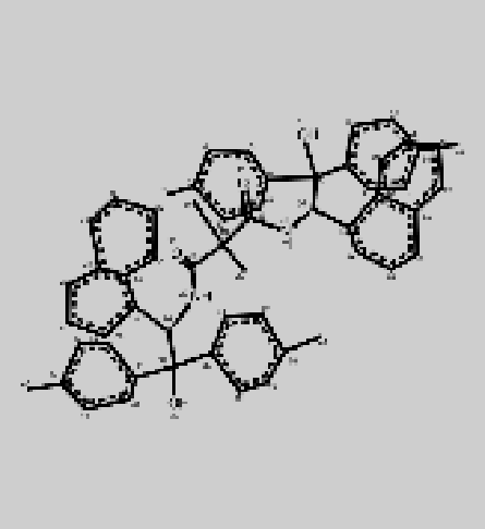 Cc1ccc(C(O)(c2ccc(C)cc2)[C@H](NC(=O)C(C)(C)C(=O)N[C@H](c2cccc3ccccc23)C(O)(c2ccc(C)cc2)c2ccc(C)cc2)c2cccc3ccccc23)cc1